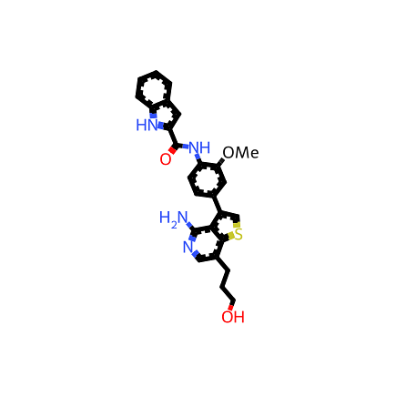 COc1cc(-c2csc3c(CCCO)cnc(N)c23)ccc1NC(=O)c1cc2ccccc2[nH]1